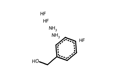 F.F.F.N.N.OCc1ccccc1